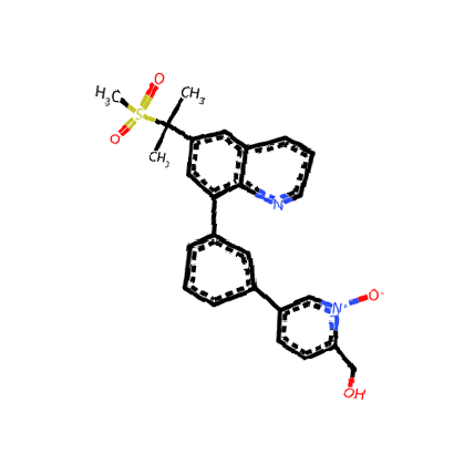 CC(C)(c1cc(-c2cccc(-c3ccc(CO)[n+]([O-])c3)c2)c2ncccc2c1)S(C)(=O)=O